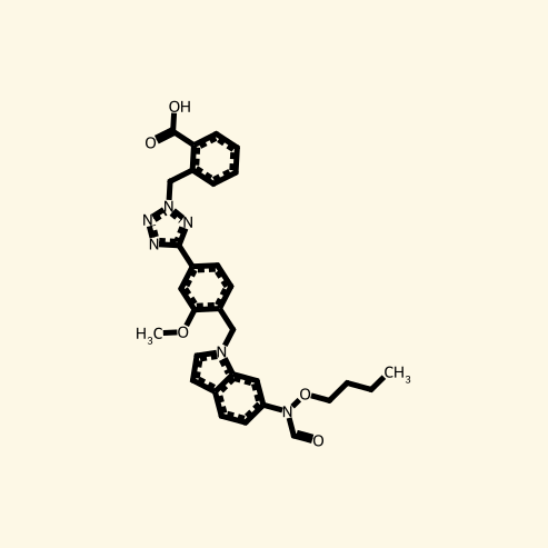 CCCCON(C=O)c1ccc2ccn(Cc3ccc(-c4nnn(Cc5ccccc5C(=O)O)n4)cc3OC)c2c1